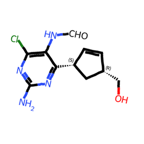 Nc1nc(Cl)c(NC=O)c([C@@H]2C=C[C@H](CO)C2)n1